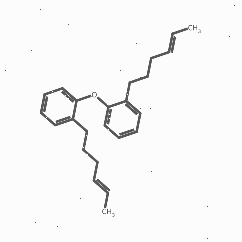 CC=CCCCc1ccccc1Oc1ccccc1CCCC=CC